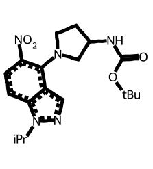 CC(C)n1ncc2c(N3CCC(NC(=O)OC(C)(C)C)C3)c([N+](=O)[O-])ccc21